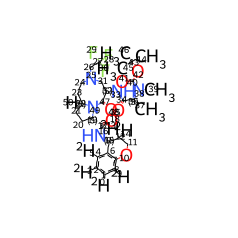 [2H]c1c([2H])c([2H])c2c(c1[2H])OCC([2H])([2H])[C@H]2NC(=O)[C@@H]1CC[C@@H]2CCN(CC(F)(F)F)C[C@H](NC(=O)[C@H](C)N(C)C(=O)OC(C)(C)C)C(=O)N21